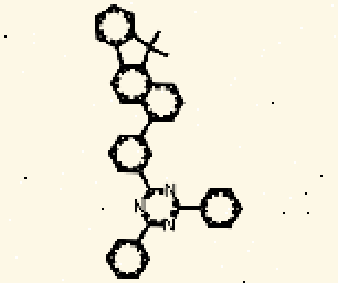 CC1(C)c2ccccc2-c2ccc3c(-c4cccc(-c5nc(-c6ccccc6)nc(-c6ccccc6)n5)c4)cccc3c21